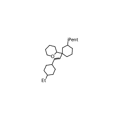 CCCC(C)C1CCCC(C=CC2CCC(CC)CC2)(C2CCCCO2)C1